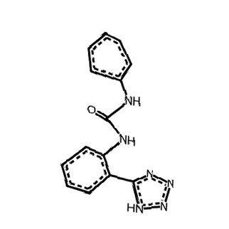 O=C(Nc1ccccc1)Nc1ccccc1-c1nnn[nH]1